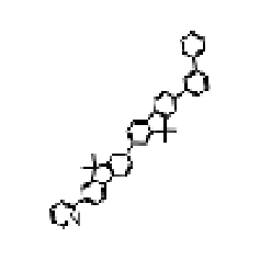 CC1(C)c2cc(-c3cccc(-c4ccccc4)c3)ccc2-c2ccc(-c3ccc4c(c3)C(C)(C)c3cc(-c5ccccn5)ccc3-4)cc21